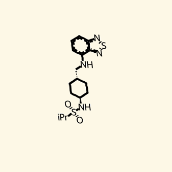 CC(C)S(=O)(=O)N[C@H]1CC[C@H](CNc2cccc3nsnc23)CC1